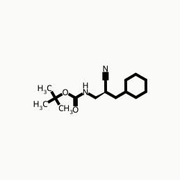 CC(C)(C)OC(=O)NC[C@@H](C#N)CC1CCCCC1